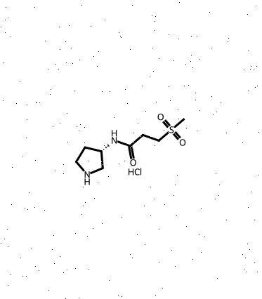 CS(=O)(=O)CCC(=O)N[C@H]1CCNC1.Cl